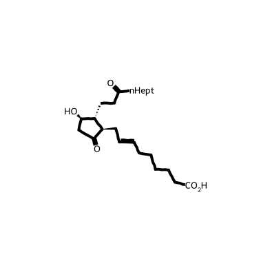 CCCCCCCC(=O)CC[C@H]1[C@H](O)CC(=O)[C@@H]1CC=CCCCCCC(=O)O